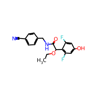 CCOC(C(=O)NCc1ccc(C#N)cc1)c1c(F)cc(O)cc1F